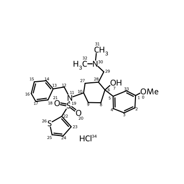 COc1cccc(C2(O)CCC(N(Cc3ccccc3)S(=O)(=O)c3cccs3)CC2CN(C)C)c1.Cl